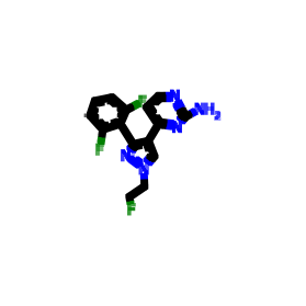 Nc1nccc(-c2cn(CCF)nc2-c2c(F)[c]ccc2F)n1